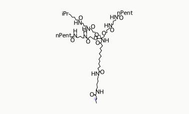 C/C=C/C(=O)NCCCCCCNC(=O)CCCCCCCCCCC(=O)NC(COCCC(=O)NCCCNC(=O)CCCCC)(COCCC(=O)NCCCNC(=O)CCCCC)COCCC(=O)NCCCNC(=O)CCCCC(C)C